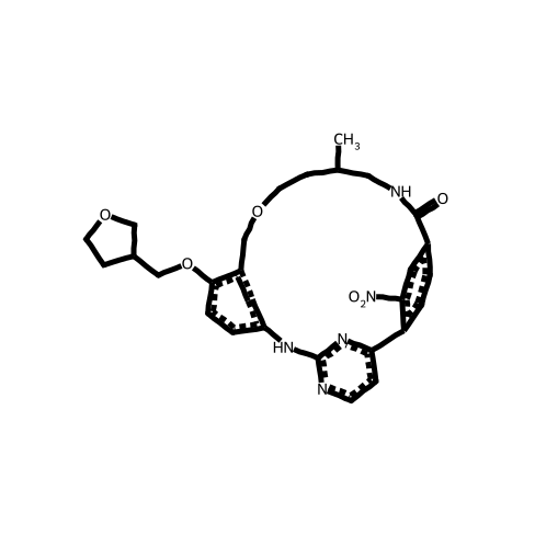 CC1CCOCc2cc(ccc2OCC2CCOC2)Nc2nccc(n2)-c2ccc(cc2[N+](=O)[O-])C(=O)NC1